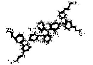 CCCCc1ccc2c(c1)c1cc(CCCC)ccc1n2-c1cc(C)c(B2c3ccccc3B(c3c(C)cc(-n4c5ccc(CCCC)cc5c5cc(CCCC)ccc54)cc3C)c3ccccc32)c(C)c1